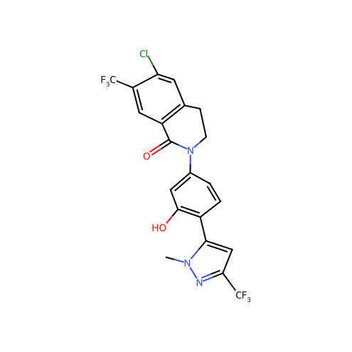 Cn1nc(C(F)(F)F)cc1-c1ccc(N2CCc3cc(Cl)c(C(F)(F)F)cc3C2=O)cc1O